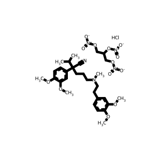 COc1ccc(CCN(C)CCCC(C#N)(c2ccc(OC)c(OC)c2)C(C)C)cc1OC.Cl.O=[N+]([O-])OCC(CO[N+](=O)[O-])O[N+](=O)[O-]